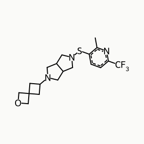 Cc1nc(C(F)(F)F)ccc1SN1CC2CN(C3CC4(COC4)C3)CC2C1